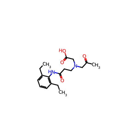 CCc1cccc(CC)c1NC(=O)CCN(CC(C)=O)CC(=O)O